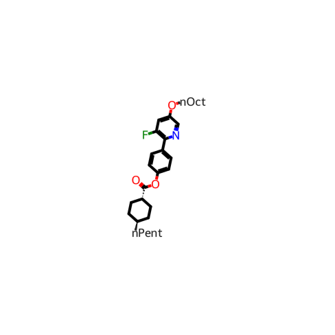 CCCCCCCCOc1cnc(-c2ccc(OC(=O)[C@H]3CC[C@H](CCCCC)CC3)cc2)c(F)c1